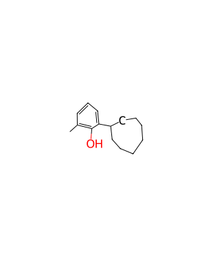 Cc1cccc(C2CCCCCCC2)c1O